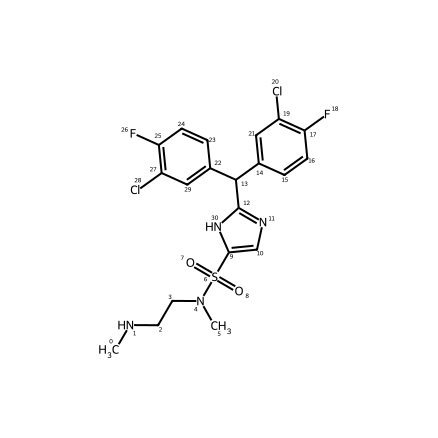 CNCCN(C)S(=O)(=O)c1cnc(C(c2ccc(F)c(Cl)c2)c2ccc(F)c(Cl)c2)[nH]1